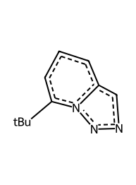 CC(C)(C)c1cccc2cnnn12